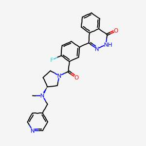 CN(Cc1ccncc1)[C@H]1CCN(C(=O)c2cc(-c3n[nH]c(=O)c4ccccc34)ccc2F)C1